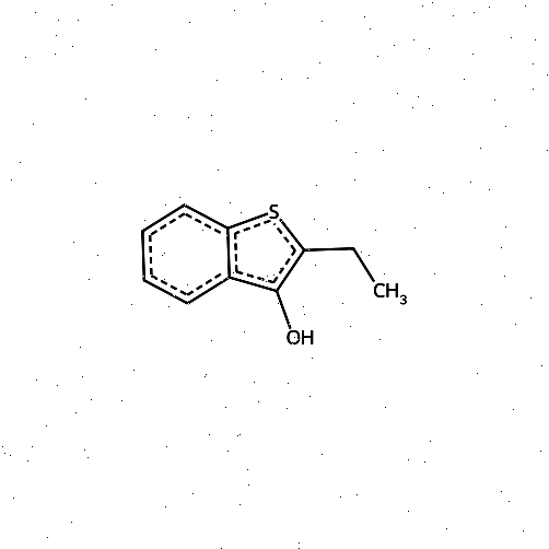 CCc1sc2ccccc2c1O